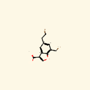 O=C(O)c1coc2c(CBr)cc(CCBr)cc12